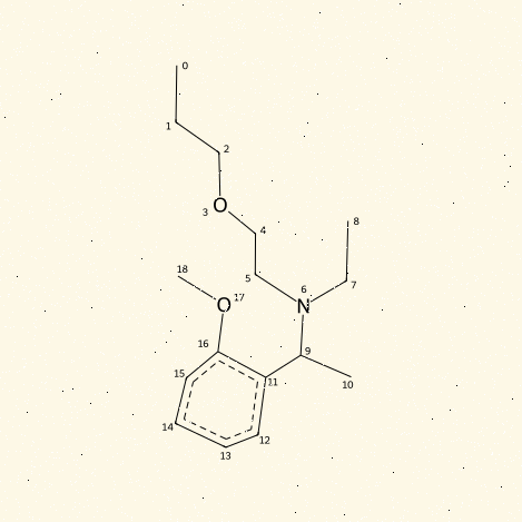 CCCOCCN(CC)C(C)c1ccccc1OC